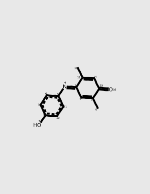 CC1=CC(=Nc2ccc(O)cc2)C(C)=CC1=O